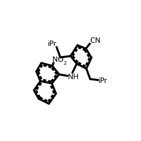 CC(C)Cc1cc(C#N)cc(CC(C)C)c1Nc1c([N+](=O)[O-])ccc2ccccc12